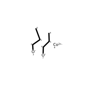 CCC[O-].CCC[O-].[Co+2]